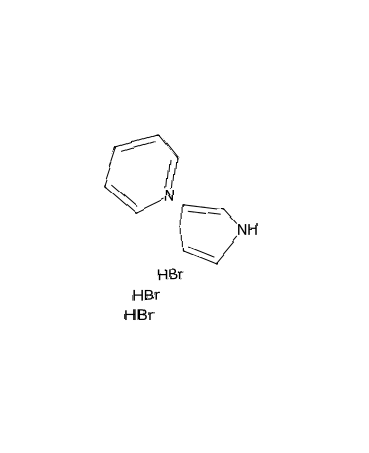 Br.Br.Br.c1cc[nH]c1.c1ccncc1